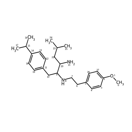 COc1ccc(CCNC(Cc2ccc(C(C)C)cc2)C(N)CC(C)C)cc1